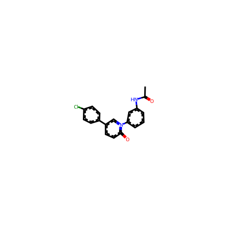 CC(=O)Nc1cccc(-n2cc(-c3ccc(Cl)cc3)ccc2=O)c1